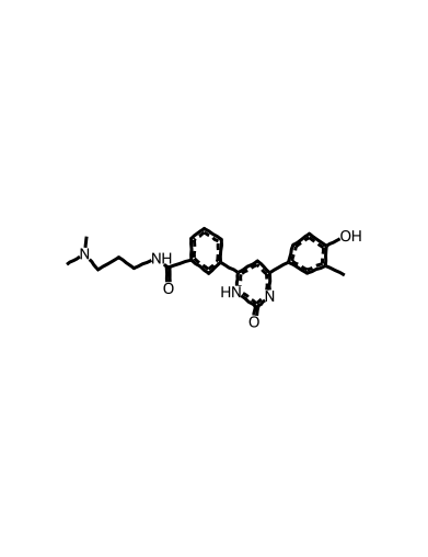 Cc1cc(-c2cc(-c3cccc(C(=O)NCCCN(C)C)c3)[nH]c(=O)n2)ccc1O